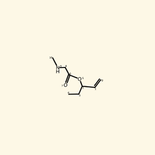 C=CC(CC)OC(=O)CNC